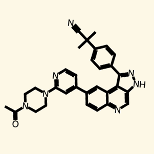 CC(=O)N1CCN(c2cc(-c3ccc4ncc5[nH]nc(-c6ccc(C(C)(C)C#N)cc6)c5c4c3)ccn2)CC1